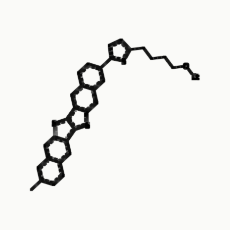 CCOCCCCc1ccc(-c2ccc3cc4c(cc3c2)sc2c3cc5ccc(C)cc5cc3sc42)s1